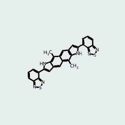 Cc1c2cc3cc(-c4cccc5nsnc45)[nH]c3c(C)c2cc2cc(-c3cccc4nsnc34)[nH]c12